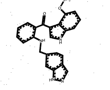 COc1cccc2[nH]cc(C(=O)c3ccccc3NCc3ccc4cn[nH]c4c3)c12